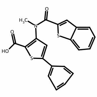 CN(C(=O)c1cc2ccccc2s1)c1cc(-c2ccccc2)sc1C(=O)O